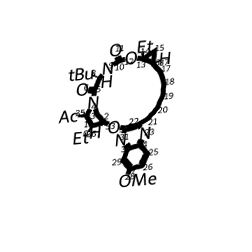 CC[C@@H]1[C@@H]2CN(C(=O)[C@H](C(C)(C)C)NC(=O)O[C@]3(CC)C[C@H]3CCCCCc3nc4ccc(OC)cc4nc3O2)[C@@H]1C(C)=O